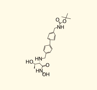 C[C@@H](O)[C@H](NCc1ccc(-c2ccc(CNC(=O)OC(C)(C)C)cc2)cc1)C(=O)NO